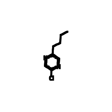 CCCCc1cnc(Cl)cn1